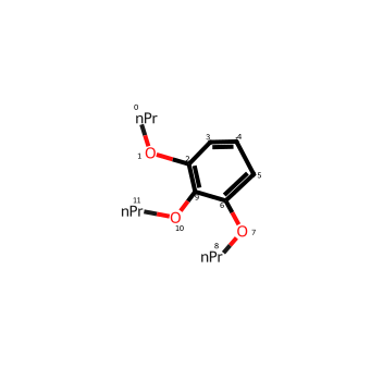 CCCOc1c[c]cc(OCCC)c1OCCC